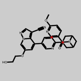 COc1ccc(C(=O)N2C3CC2CN(c2ccc(-c4cc(OCCO)cn5ncc(C#N)c45)cn2)C3)cn1